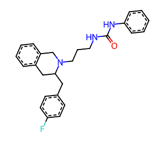 O=C(NCCCN1Cc2ccccc2CC1Cc1ccc(F)cc1)Nc1ccccc1